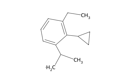 [CH2]C(C)c1cccc(CC)c1C1CC1